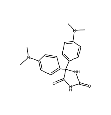 CN(C)c1ccc(C2(c3ccc(N(C)C)cc3)NC(=O)NC2=O)cc1